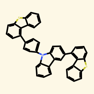 c1ccc2c(c1)sc1cccc(-c3ccc(-n4c5ccccc5c5cc(-c6cccc7sc8ccccc8c67)ccc54)cc3)c12